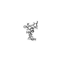 Cc1cc(I)ccc1Nc1cc(F)c(Cl)cc1C(=O)NOCC(C)(C)CO